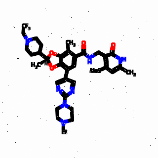 CCN1CCN(c2ncc(-c3cc(C(=O)NCc4c(SC)cc(C)[nH]c4=O)c(C)c4c3O[C@](C)(C3CCN(CC(F)(F)F)CC3)O4)cn2)CC1